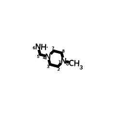 CN1CCN(C[NH])CC1